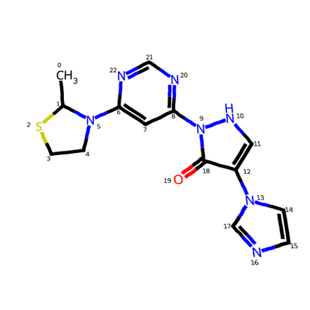 CC1SCCN1c1cc(-n2[nH]cc(-n3ccnc3)c2=O)ncn1